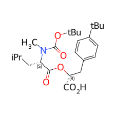 CC(C)C[C@@H](C(=O)O[C@H](Cc1ccc(C(C)(C)C)cc1)C(=O)O)N(C)C(=O)OC(C)(C)C